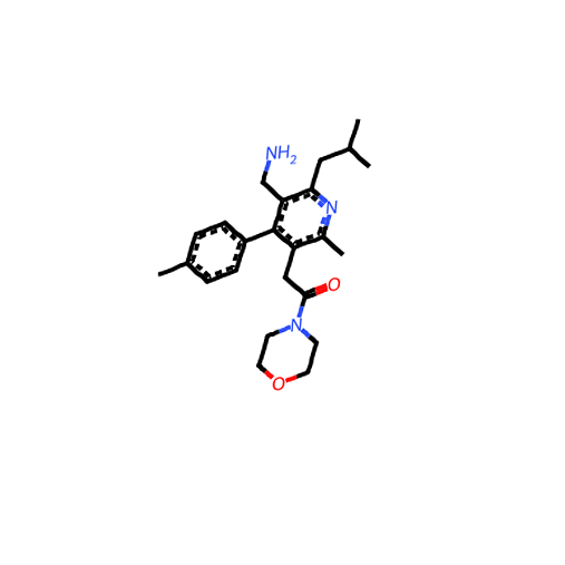 Cc1ccc(-c2c(CC(=O)N3CCOCC3)c(C)nc(CC(C)C)c2CN)cc1